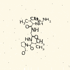 CC(C)C(NC(=O)CN)C(=O)NCC(=O)NC(C(=O)N1CCCC1[C]=O)C(C)C